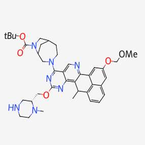 COCOc1cc2c3c(cccc3c1)C(C)c1c-2ncc2c(N3CCC4CC(C3)N(C(=O)OC(C)(C)C)C4)nc(OC[C@H]3CNCCN3C)nc12